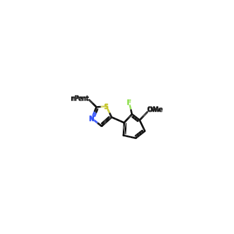 [CH2]CCCCc1ncc(-c2cccc(OC)c2F)s1